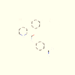 CS(=O)(=O)O.Cc1ccc(-c2ccc(C(=O)O)cc2C(=O)O)c(C(=O)Nc2ccc(C(=N)N)cc2)n1